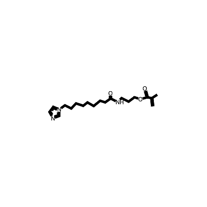 C=C(C)C(=O)OCCCNC(=O)CCCCCCCCn1ccnc1